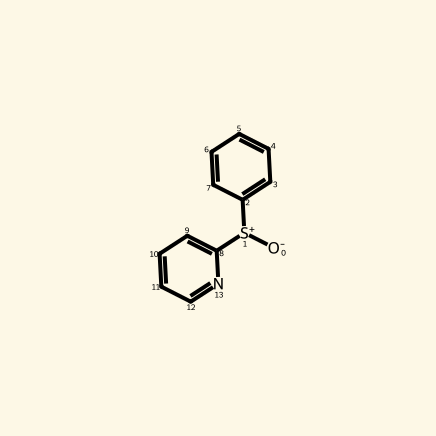 [O-][S+](c1ccccc1)c1ccccn1